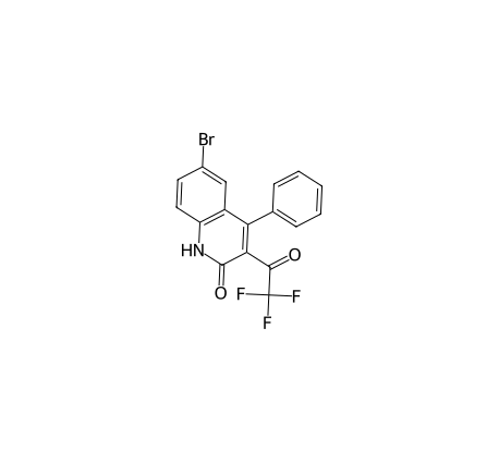 O=C(c1c(-c2ccccc2)c2cc(Br)ccc2[nH]c1=O)C(F)(F)F